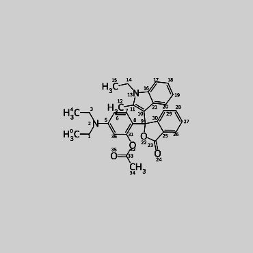 CCN(CC)c1ccc(C2(c3c(C)n(CC)c4ccccc34)OC(=O)c3ccccc32)c(OC(C)=O)c1